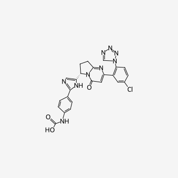 O=C(O)Nc1ccc(-c2ncc([C@@H]3CCc4nc(-c5cc(Cl)ccc5-n5cnnn5)cc(=O)n43)[nH]2)cc1